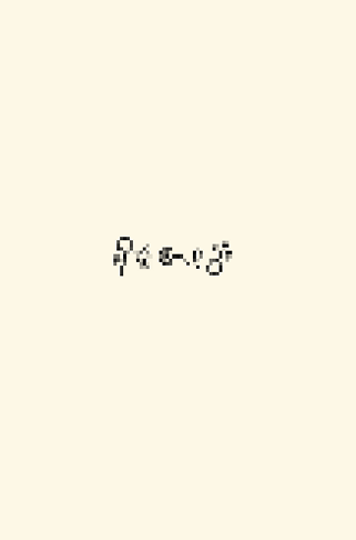 Cn1c(-c2ccccc2C(F)(F)F)nnc1C12CCC(CNC(=O)Cc3cccc(C(F)(F)F)c3)(CC1)CC2